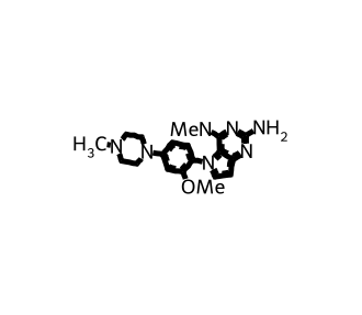 CNc1nc(N)nc2ccn(-c3ccc(N4CCN(C)CC4)cc3OC)c12